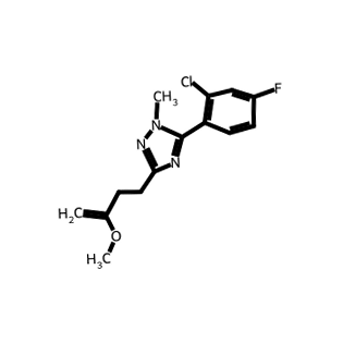 C=C(CCc1nc(-c2ccc(F)cc2Cl)n(C)n1)OC